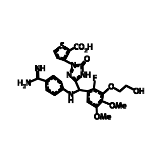 COc1cc(C(Nc2ccc(C(=N)N)cc2)c2nn(-c3ccsc3C(=O)O)c(=O)[nH]2)c(F)c(OCCO)c1OC